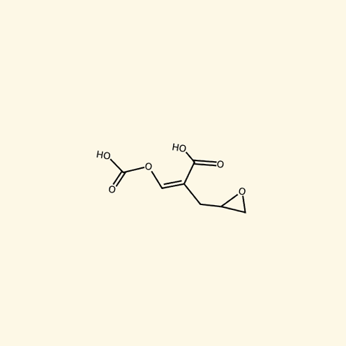 O=C(O)OC=C(CC1CO1)C(=O)O